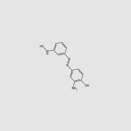 Nc1cc(N=Nc2cccc(NS)c2)ccc1O